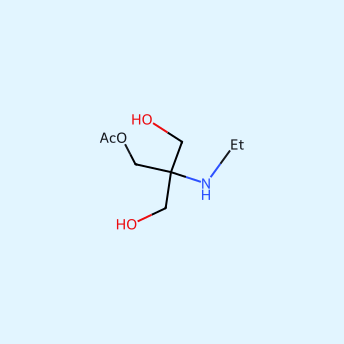 CCNC(CO)(CO)COC(C)=O